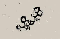 O=C(N[C@H]1C[C@H](c2nnc(-c3nccs3)n2-c2ccccc2F)C1)c1ccnc2cccnc12